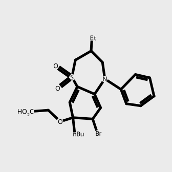 CCCCC1(OCC(=O)O)C=C2C(=CC1Br)N(c1ccccc1)CC(CC)CS2(=O)=O